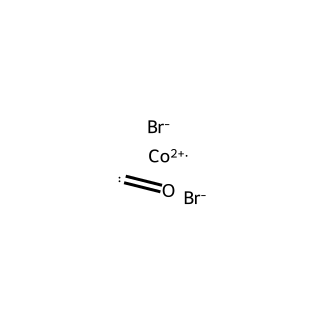 [Br-].[Br-].[C]=O.[Co+2]